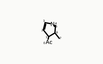 CC(=O)C1C=CN=CC1C